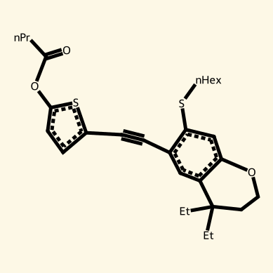 CCCCCCSc1cc2c(cc1C#Cc1ccc(OC(=O)CCC)s1)C(CC)(CC)CCO2